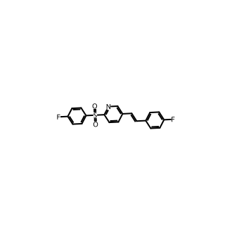 O=S(=O)(c1ccc(F)cc1)c1ccc(C=Cc2ccc(F)cc2)cn1